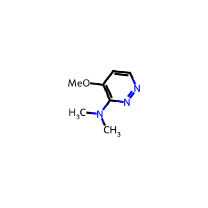 COc1ccnnc1N(C)C